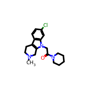 CN1CCc2c(n(CC(=O)N3CCCCC3)c3cc(Cl)ccc23)C1